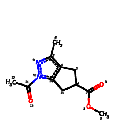 COC(=O)C1Cc2c(C)nn(C(C)=O)c2C1